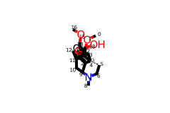 COC1=C[C@]23CCN(C)C(Cc4ccc(OC)c(O)c42)C3=CC1=O